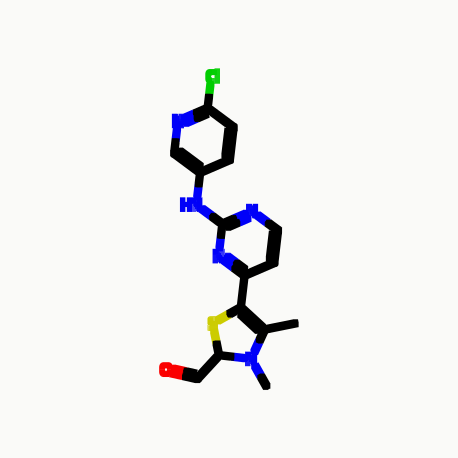 CC1=C(c2ccnc(Nc3ccc(Cl)nc3)n2)SC(C=O)N1C